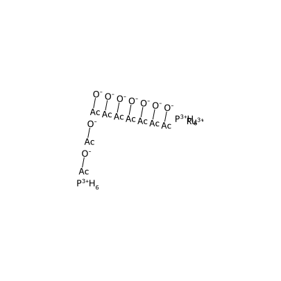 CC(=O)[O-].CC(=O)[O-].CC(=O)[O-].CC(=O)[O-].CC(=O)[O-].CC(=O)[O-].CC(=O)[O-].CC(=O)[O-].CC(=O)[O-].[PH6+3].[PH6+3].[Ru+3]